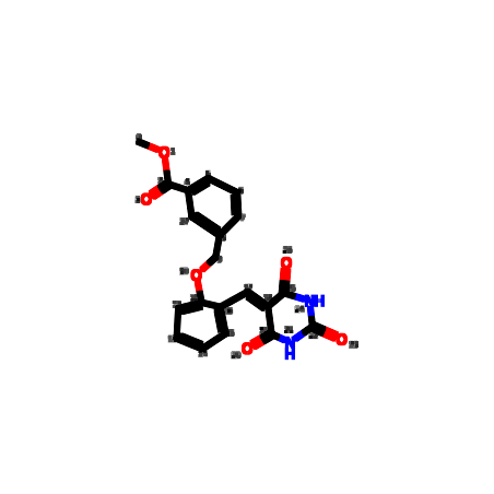 COC(=O)c1cccc(COc2ccccc2C=C2C(=O)NC(=O)NC2=O)c1